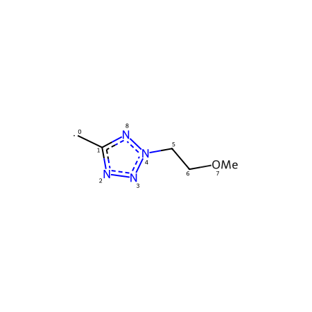 [CH2]c1nnn(CCOC)n1